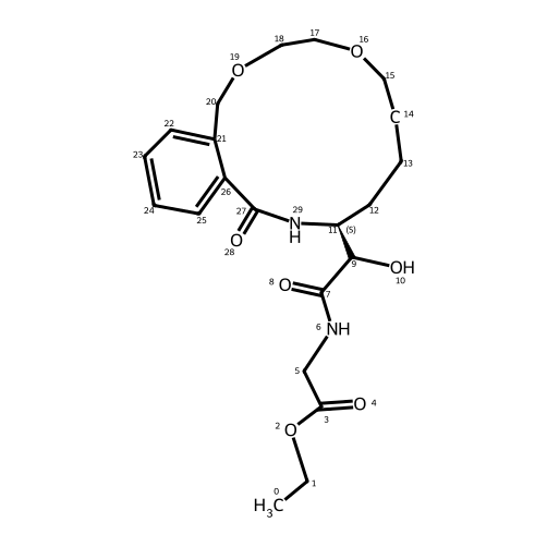 CCOC(=O)CNC(=O)C(O)[C@@H]1CCCCOCCOCc2ccccc2C(=O)N1